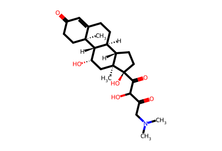 CN(C)CC(=O)C(O)C(=O)[C@@]1(O)CC[C@H]2[C@@H]3CCC4=CC(=O)CC[C@]4(C)[C@H]3[C@@H](O)C[C@@]21C